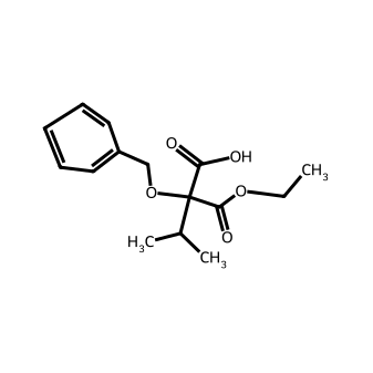 CCOC(=O)C(OCc1ccccc1)(C(=O)O)C(C)C